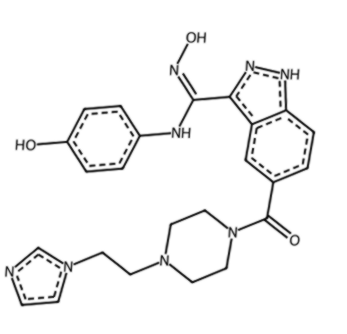 O=C(c1ccc2[nH]nc(/C(=N\O)Nc3ccc(O)cc3)c2c1)N1CCN(CCn2ccnc2)CC1